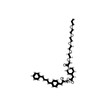 CCCOCCOCCOCCOCCOCC(=O)N1CCC(CC(=O)ONC(=O)Cc2ccc(CCCCc3ccccc3)cc2)CC1